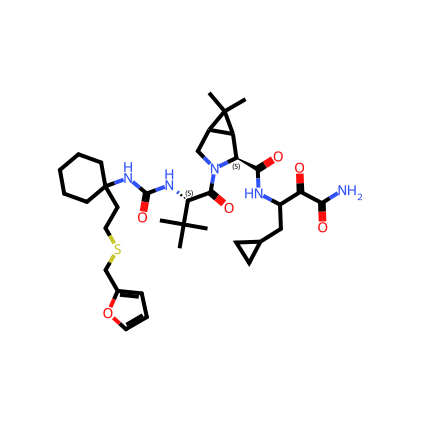 CC1(C)C2CN(C(=O)[C@@H](NC(=O)NC3(CCSCc4ccco4)CCCCC3)C(C)(C)C)[C@H](C(=O)NC(CC3CC3)C(=O)C(N)=O)C21